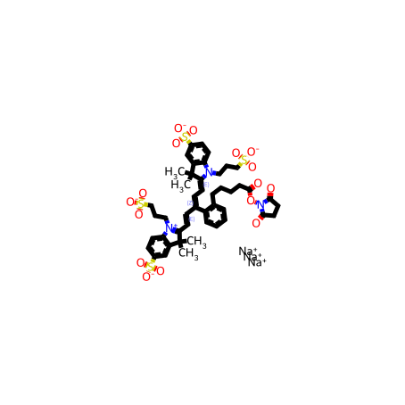 CC1(C)C(/C=C/C(=C/C=C2/N(CCCS(=O)(=O)[O-])c3ccc(S(=O)(=O)[O-])cc3C2(C)C)c2ccccc2CCCCC(=O)ON2C(=O)CCC2=O)=[N+](CCCS(=O)(=O)[O-])c2ccc(S(=O)(=O)[O-])cc21.[Na+].[Na+].[Na+]